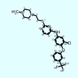 CN1CCN(CCSc2nccc(Nc3ccc(Oc4cccc(C(F)(F)F)c4)c(Cl)c3)n2)CC1